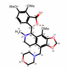 COc1ccc2c(c1OC)C(=O)O[C@@H]2[C@H]1c2c(c(CN3CCOCC3)c3c(c2OC)OCO3)CCN1C